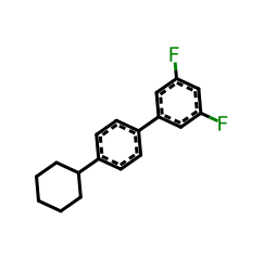 Fc1cc(F)cc(-c2ccc(C3CCCCC3)cc2)c1